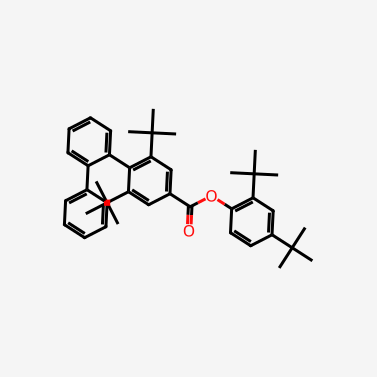 CC(C)(C)c1ccc(OC(=O)c2cc(C(C)(C)C)c(-c3ccccc3-c3ccccc3)c(C(C)(C)C)c2)c(C(C)(C)C)c1